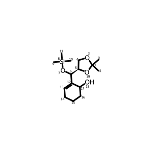 CC1(C)OC[C@H](C(O[Si](C)(C)C)C2=CCCCC2O)O1